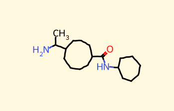 CC(N)C1CCCCC(C(=O)NC2CCCCCC2)CCC1